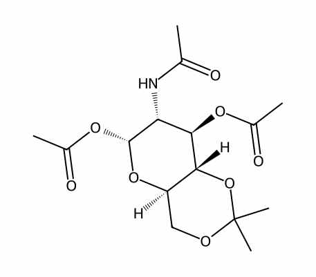 CC(=O)N[C@H]1[C@@H](OC(C)=O)O[C@@H]2COC(C)(C)O[C@H]2[C@@H]1OC(C)=O